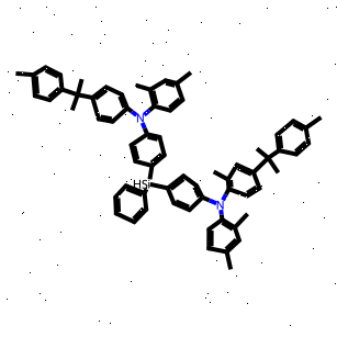 Cc1ccc(C(C)(C)c2ccc(N(c3ccc([SiH](c4ccccc4)c4ccc(N(c5ccc(C)cc5C)c5ccc(C(C)(C)c6ccc(C)cc6)cc5C)cc4)cc3)c3ccc(C)cc3C)cc2)cc1